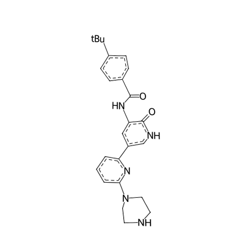 CC(C)(C)c1ccc(C(=O)Nc2cc(-c3cccc(N4CCNCC4)n3)c[nH]c2=O)cc1